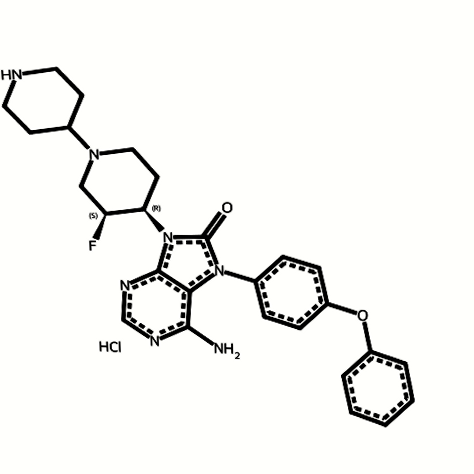 Cl.Nc1ncnc2c1n(-c1ccc(Oc3ccccc3)cc1)c(=O)n2[C@@H]1CCN(C2CCNCC2)C[C@@H]1F